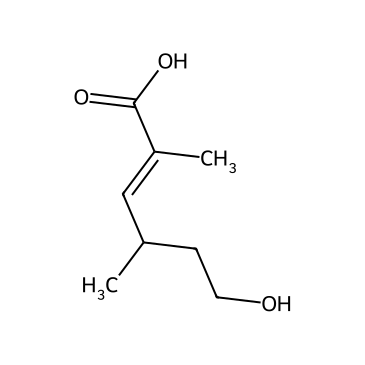 C/C(=C\C(C)CCO)C(=O)O